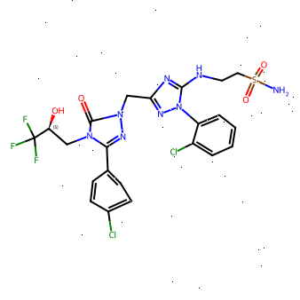 NS(=O)(=O)CCNc1nc(Cn2nc(-c3ccc(Cl)cc3)n(C[C@H](O)C(F)(F)F)c2=O)nn1-c1ccccc1Cl